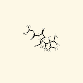 CC(C)OC(=O)N1C(=O)[C@H](O[Si](C(C)C)(C(C)C)C(C)C)[C@@H]1[C@H](C)F